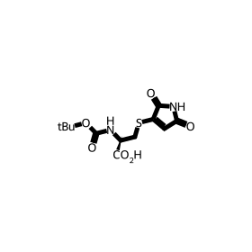 CC(C)(C)OC(=O)N[C@@H](CSC1=CC(=O)NC1=O)C(=O)O